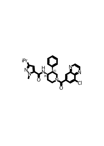 CC(C)c1cc(C(=O)N[C@@H]2CCN(C(=O)c3cc(Cl)c4nccnc4c3)C[C@@H]2c2ccccc2)n(C)n1